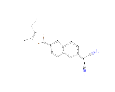 CCC1=C(CC)SC(=c2ccc3cc(=C(C#N)C#N)ccc3c2)S1